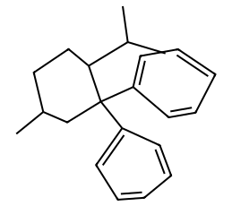 CC1CCC(C(C)C)C(c2ccccc2)(c2ccccc2)C1